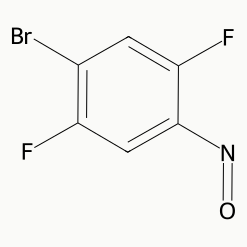 O=Nc1cc(F)c(Br)cc1F